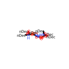 CCCCCCCCCCCCC(=O)N[C@@H](CCOP(=O)(O)CCCNC(=O)NCCOP(=O)(O)OCC[C@H](NC(=O)CCCCCCCCCCCC)C(CCCCCCCCCC)OC(=O)CCCCCCCCCC)C(CCCCCCCCCC)OC(=O)CCCCCCCCCC